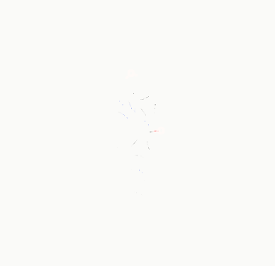 C[C@H]1CCCN(Cc2cc3c(c(C(F)(F)F)c2)CN(c2cccc(C4(c5nncn5C)CCOCC4)c2)C3=O)C1